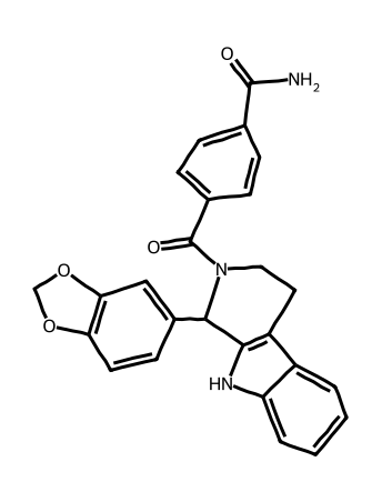 NC(=O)c1ccc(C(=O)N2CCc3c([nH]c4ccccc34)C2c2ccc3c(c2)OCO3)cc1